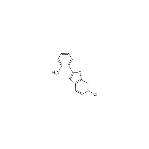 Nc1ccccc1-c1nc2ccc(Cl)cc2o1